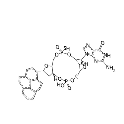 Nc1nc2c(ncn2C2OC3COP(=O)(O)O[C@@H]4C[C@H](c5ccc6ccc7cccc8ccc5c6c78)OC4COP(=O)(S)OC2C3O)c(=O)[nH]1